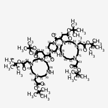 CC(C)(C)OC(=O)CC(C(=O)N1CCN(C(=O)C(CC(=O)OC(C)(C)C)N2CCNCCN(CC(=O)OC(C)(C)C)CCN(CC(=O)OC(C)(C)C)CC2)CC1)N1CCNCCN(CC(=O)OC(C)(C)C)CCN(CC(=O)OC(C)(C)C)CC1